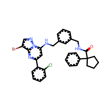 O=C(NCc1cccc(CNc2cc(-c3ccccc3Cl)nc3c(Br)cnn23)c1)C1(c2ccccc2)CCCC1